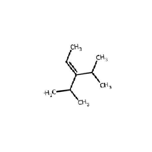 [CH2]C(C)C(=CC)C(C)C